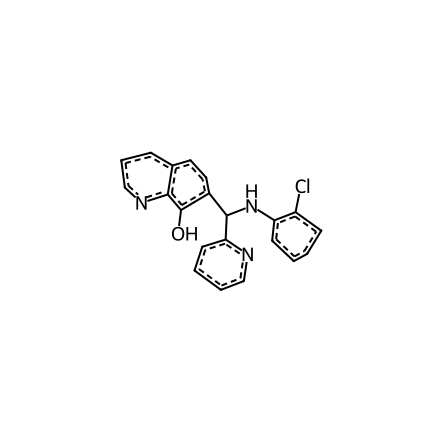 Oc1c(C(Nc2ccccc2Cl)c2ccccn2)ccc2cccnc12